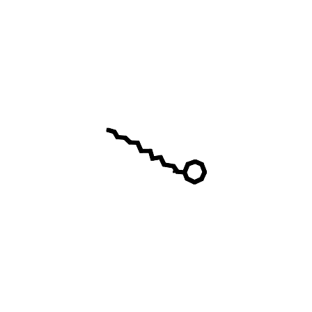 CCCCCCCCCCCC[CH]C1CCCCCCC1